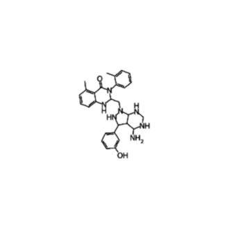 Cc1ccccc1N1C(=O)c2c(C)cccc2NC1CN1NC(c2cccc(O)c2)C2C(N)NCNC21